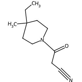 CCC1(C)CCN(C(=O)CC#N)CC1